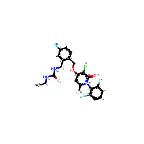 Cc1cc(OCc2ccc(F)cc2CNC(=O)NCC(C)(C)C)c(Cl)c(=O)n1-c1c(F)cccc1F